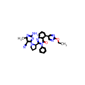 CCOc1ncc(-c2cccc3nc(C4CCCN4c4nc(N)nc(C)c4C#N)n(-c4ccccc4)c(=O)c23)cn1